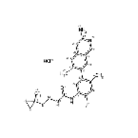 Cc1cc(F)c(NC(=O)NCCC2(C(F)(F)F)CC2)cc1-c1cc2cnc(N)cc2nc1C.Cl